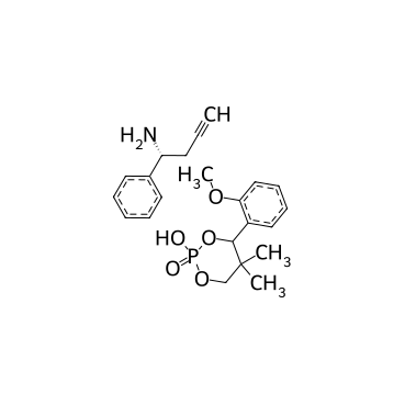 C#CC[C@@H](N)c1ccccc1.COc1ccccc1C1OP(=O)(O)OCC1(C)C